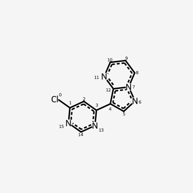 Clc1cc(-c2cnn3cccnc23)ncn1